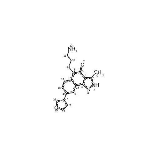 Cc1[nH]nc2c1c(=O)n(CCCN)c1ccc(-c3ccoc3)cc21